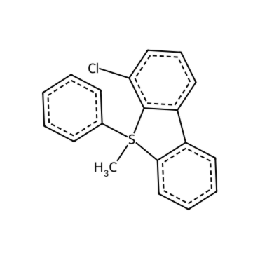 CS1(c2ccccc2)c2ccccc2-c2cccc(Cl)c21